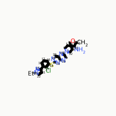 C=C1OCC2(CCN(c3cnc4nc(Sc5cccc(-c6ccn(CC)n6)c5Cl)ncc4n3)CC2)[C@@H]1N